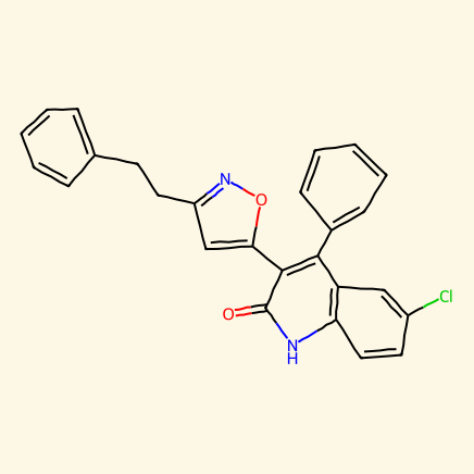 O=c1[nH]c2ccc(Cl)cc2c(-c2ccccc2)c1-c1cc(CCc2ccccc2)no1